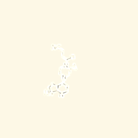 N#CCCC(=O)N1CCN(c2ccnc3[nH]ccc23)CC12CC2